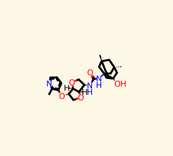 Cc1ncccc1O[C@H]1CO[C@H]2[C@@H]1OC[C@@H]2NC(=O)N[C@@]12C[C@@]3(C)C[C@](C)(C[C@](O)(C3)C1)C2